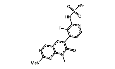 CCCS(=O)(=O)Nc1nccc(-c2cc3cnc(NC)nc3n(C)c2=O)c1F